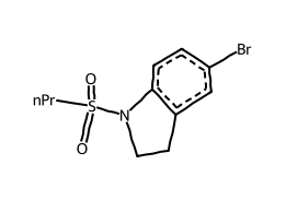 CCCS(=O)(=O)N1CCc2cc(Br)ccc21